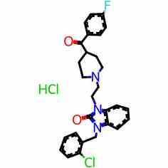 Cl.O=C(c1ccc(F)cc1)C1CCN(CCn2c(=O)n(Cc3ccccc3Cl)c3ccccc32)CC1